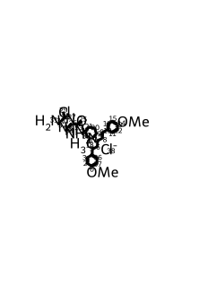 COc1ccc(CCC(CCc2ccc(OC)cc2)[N+]2(C)CCCC(NC(=O)c3nc(Cl)c(N)nc3N)C2)cc1.[Cl-]